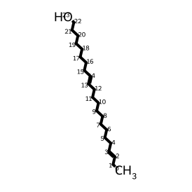 CCC=CCCCCCCCCCC=CCCCCCCCCO